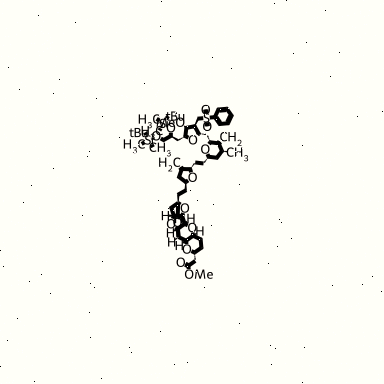 C=C1C[C@H](CC[C@]23C[C@H]4O[C@H]5[C@@H](O2)[C@H]2O[C@@H](CC(=O)OC)CC[C@@H]2O[C@H]5[C@H]4O3)O[C@H]1CC[C@H]1C[C@@H](C)C(=C)[C@@H](C[C@@H]2O[C@H](C[C@@H](CO[Si](C)(C)C(C)(C)C)O[Si](C)(C)C(C)(C)C)[C@H](OC)[C@H]2CS(=O)(=O)c2ccccc2)O1